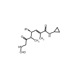 C/C(=C\[C@H](C(C)C)N(C)C(=O)CNC=O)C(=O)NC1CC1